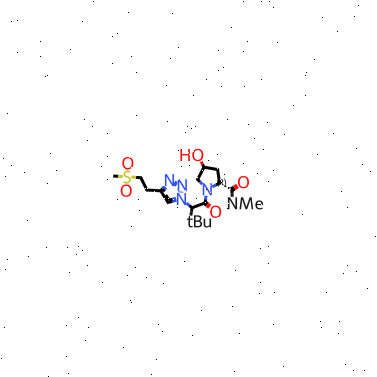 CNC(=O)[C@H]1CC(O)CN1C(=O)C(n1cc(CCS(C)(=O)=O)nn1)C(C)(C)C